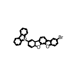 Brc1ccc2oc3c4c(ccc3c2c1)C1C=C(n2c3ccccc3c3ccccc32)C=CC1O4